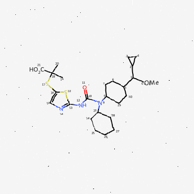 COC(C1CC1)C1CCC(N(C(=O)Nc2ncc(SC(C)(C)C(=O)O)s2)C2CCCCC2)CC1